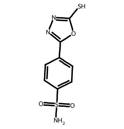 NS(=O)(=O)c1ccc(-c2nnc(S)o2)cc1